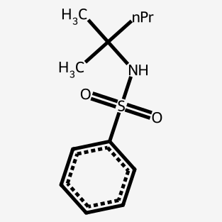 CCCC(C)(C)NS(=O)(=O)c1ccccc1